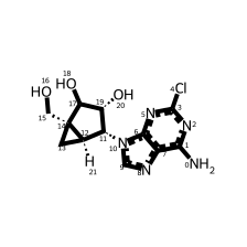 Nc1nc(Cl)nc2c1ncn2[C@@H]1[C@H]2C[C@@]2(CO)C(O)[C@@H]1O